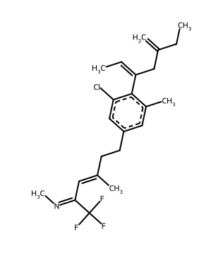 C=C(CC)C/C(=C/C)c1c(C)cc(CC/C(C)=C/C(=N\C)C(F)(F)F)cc1Cl